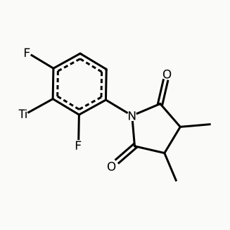 CC1C(=O)N(c2ccc(F)[c]([Ti])c2F)C(=O)C1C